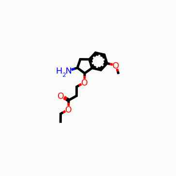 CCOC(=O)CCOC1c2cc(OC)ccc2CC1N